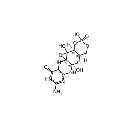 Nc1nc2c(c(=O)[nH]1)N[C@@]13OC1(O)[C@H]1OP(=O)(O)OC[C@H]1O[C@@]3(O)N2